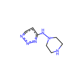 c1cc(NN2CCNCC2)nnn1